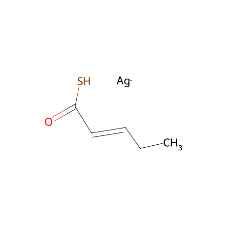 CCC=CC(=O)S.[Ag]